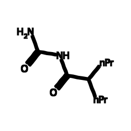 CCCC(CCC)C(=O)NC(N)=O